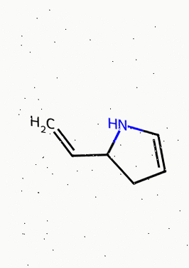 C=CC1CC=CN1